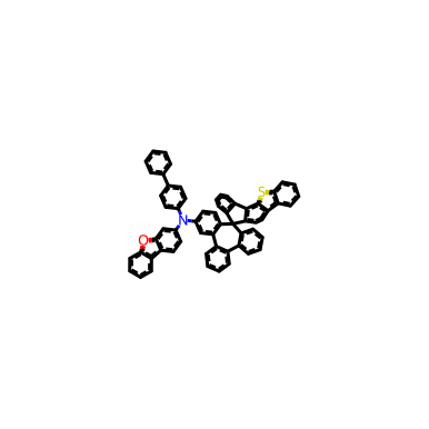 c1ccc(-c2ccc(N(c3ccc4c(c3)-c3ccccc3-c3ccccc3C43c4ccccc4-c4c3ccc3c4sc4ccccc43)c3ccc4c(c3)oc3ccccc34)cc2)cc1